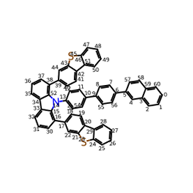 c1ccc2cc(-c3ccc(-c4ccc(-n5c6c(-c7ccc8c(c7)sc7ccccc78)cccc6c6cccc(-c7ccc8c(c7)sc7ccccc78)c65)cc4)cc3)ccc2c1